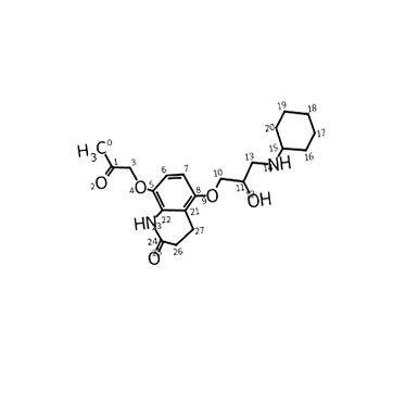 CC(=O)COc1ccc(OCC(O)CNC2CCCCC2)c2c1NC(=O)CC2